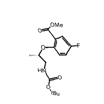 COC(=O)c1cc(F)ccc1O[C@@H](C)CNC(=O)OC(C)(C)C